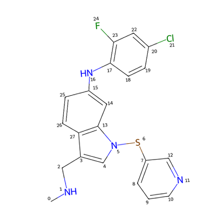 CNCc1cn(Sc2cccnc2)c2cc(Nc3ccc(Cl)cc3F)ccc12